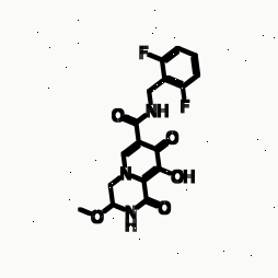 COC1Cn2cc(C(=O)NCc3c(F)cccc3F)c(=O)c(O)c2C(=O)N1